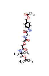 CC(=O)OCc1ccc(NC(=O)CNC(=O)COCC(=O)NC(C)(C)COC(C)C)cc1